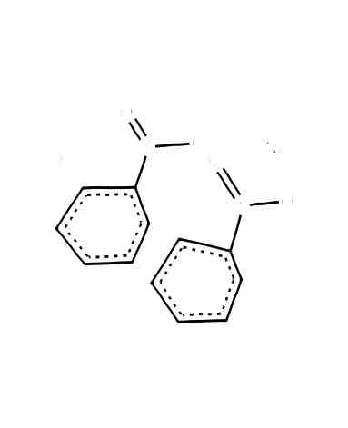 O=S([O-])c1ccccc1.O=S([O-])c1ccccc1.[K+].[Na+]